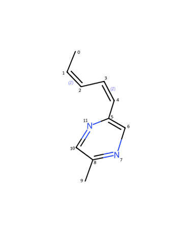 C/C=C\C=C/c1cnc(C)cn1